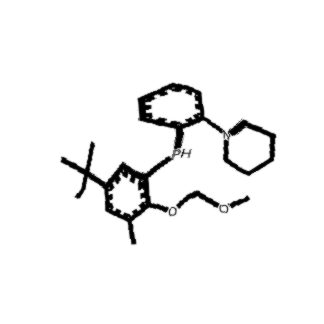 COCOc1c(C)cc(C(C)(C)C)cc1Pc1ccccc1N1CCCCC1